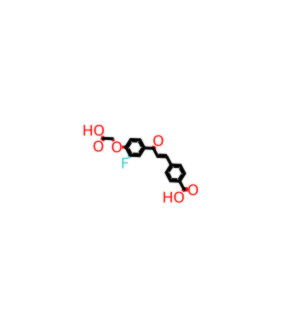 O=C(O)COc1ccc(C(=O)/C=C/c2ccc(C(=O)O)cc2)cc1F